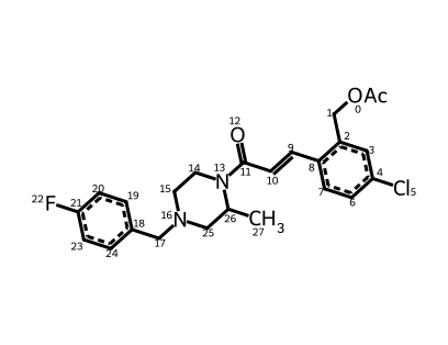 CC(=O)OCc1cc(Cl)ccc1/C=C/C(=O)N1CCN(Cc2ccc(F)cc2)CC1C